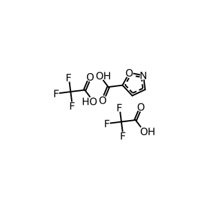 O=C(O)C(F)(F)F.O=C(O)C(F)(F)F.O=C(O)c1ccno1